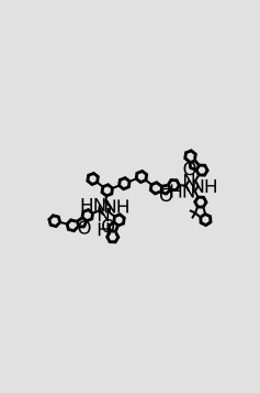 CC1(C)c2ccccc2-c2ccc(C3NC(c4cccc5c4oc4ccccc45)=NC(c4ccc5c(c4)oc4ccc(-c6cccc(-c7ccc(-c8cc(-c9ccccc9)cc(C9NC(c%10ccc%11c(c%10)oc%10ccc(-c%12ccccc%12)cc%10%11)NC(c%10cccc%11c%10oc%10ccccc%10%11)N9)c8)cc7)c6)cc45)N3)cc21